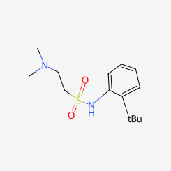 CN(C)CCS(=O)(=O)Nc1ccccc1C(C)(C)C